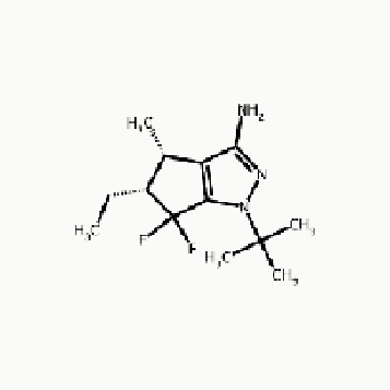 CC[C@@H]1[C@H](C)c2c(N)nn(C(C)(C)C)c2C1(F)F